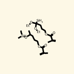 C=C(C)C(=O)OCCCC(C)O[SiH](C)C.C=C(C)C(=O)OCCCC([SiH3])(OCC)OCC